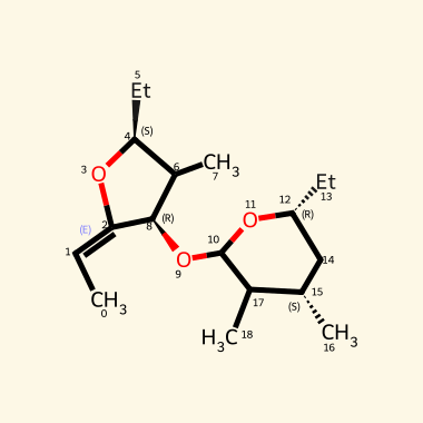 C/C=C1/O[C@@H](CC)C(C)[C@H]1OC1O[C@H](CC)C[C@H](C)C1C